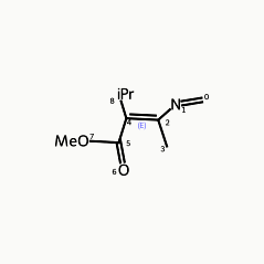 C=N/C(C)=C(/C(=O)OC)C(C)C